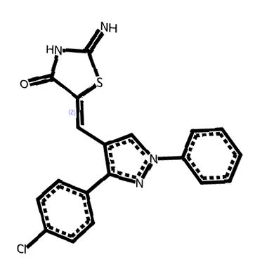 N=C1NC(=O)/C(=C/c2cn(-c3ccccc3)nc2-c2ccc(Cl)cc2)S1